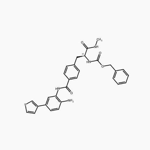 CNC(=O)[C@H](Cc1ccc(C(=O)Nc2cc(-c3ccsc3)ccc2N)cc1)NC(=O)OCc1ccccc1